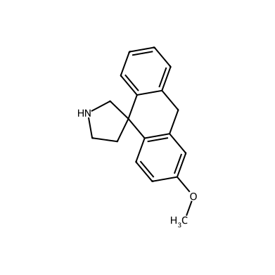 COc1ccc2c(c1)Cc1ccccc1C21CCNC1